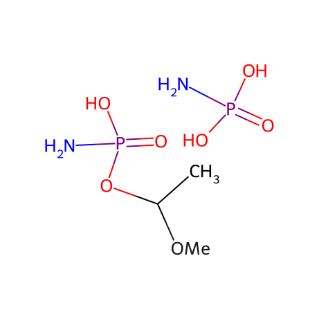 COC(C)OP(N)(=O)O.NP(=O)(O)O